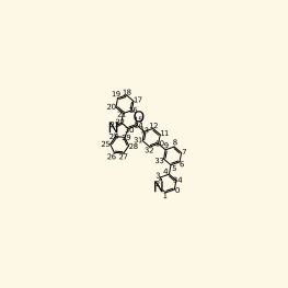 c1cncc(-c2cccc(-c3ccc(-c4oc5ccccc5c5nc6ccccc6c4-5)cc3)c2)c1